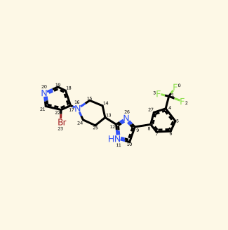 FC(F)(F)c1cccc(-c2c[nH]c(C3CCN(c4ccncc4Br)CC3)n2)c1